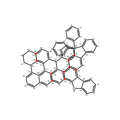 c1ccc(C2(c3ccccc3)c3ccccc3-c3ccc(-c4ccccc4N(c4ccccc4-c4ccc5oc6ccccc6c5c4)c4ccccc4-c4cccc5cccc(C6CCCCC6)c45)cc32)cc1